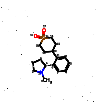 CN1CCC[C@@H]1c1ccccc1C1CCS(=O)(=O)CC1